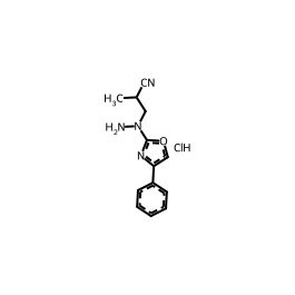 CC(C#N)CN(N)c1nc(-c2ccccc2)co1.Cl